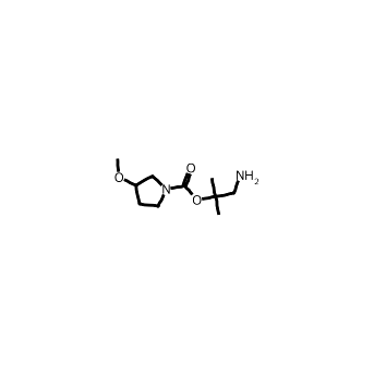 COC1CCN(C(=O)OC(C)(C)CN)C1